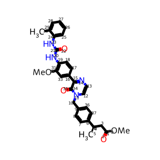 COC(=O)C[C@@H](C)c1ccc(Cn2ccnc(-c3ccc(NC(=O)Nc4ccccc4C)c(OC)c3)c2=O)cc1